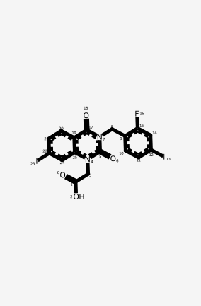 O=C(O)Cn1c(=O)n(Cc2ccc(I)cc2F)c(=O)c2ccc(I)cc21